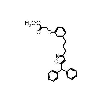 COC(=O)COc1cccc(CCCc2cc(C(c3ccccc3)c3ccccc3)on2)c1